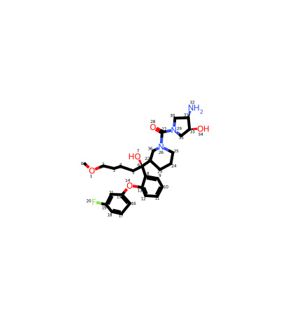 COCCCC[C@@](O)(c1ccccc1Oc1cccc(F)c1)C1CCCN(C(=O)N2C[C@@H](N)[C@@H](O)C2)C1